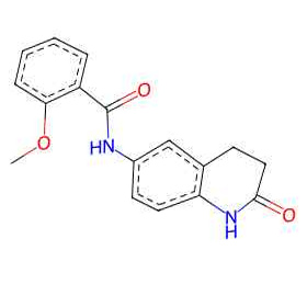 COc1ccccc1C(=O)Nc1ccc2c(c1)CCC(=O)N2